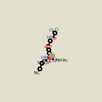 COC(=O)[C@H](Cc1ccc(-c2ccc(C#N)cc2)cc1)NC(=O)[C@@H]1Cc2cc3c(cc2CN1S(=O)(=O)c1sc(NC(C)=O)nc1C)OC(c1ccc(NC(=O)c2ccc(Cl)c(Cl)c2)cc1)CO3